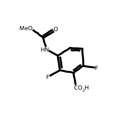 COC(=O)Nc1ccc(F)c(C(=O)O)c1F